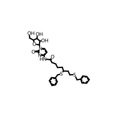 O=C(CCCCC(CCSCc1ccccc1)SCc1ccccc1)Nc1ccn(C2OC(CO)C(O)C2O)c(=O)n1